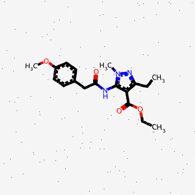 CCOC(=O)c1c(CC)nn(C)c1NC(=O)Cc1ccc(OC)cc1